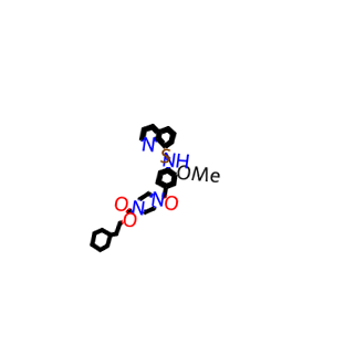 COc1cc(C(=O)N2CCN(C(=O)OCCC3CCCCC3)CC2)ccc1NSc1cccc2cccnc12